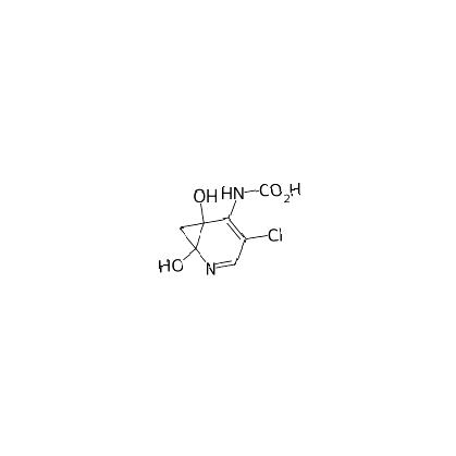 O=C(O)NC1=C(Cl)C=NC2(O)CC12O